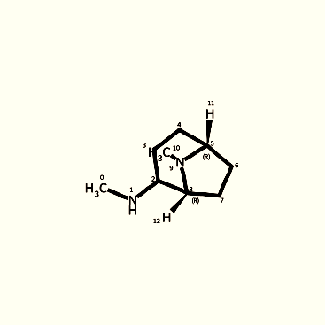 CNC1CC[C@@H]2CC[C@H]1N2C